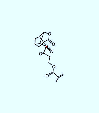 C=C(C)C(=O)OCCC(=O)OC1C2CC3C1OC(=O)C3(C#N)C2